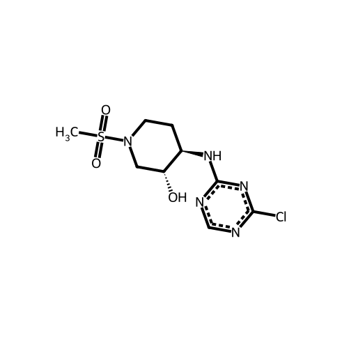 CS(=O)(=O)N1CC[C@@H](Nc2ncnc(Cl)n2)[C@H](O)C1